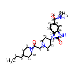 CCCC1CCN(C(=O)CN2CCC(n3c(=O)[nH]c4cc(C(=O)NC)ccc43)CC2)CC1